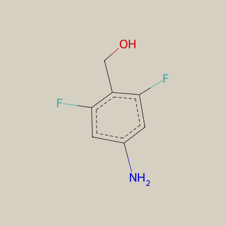 Nc1cc(F)c(CO)c(F)c1